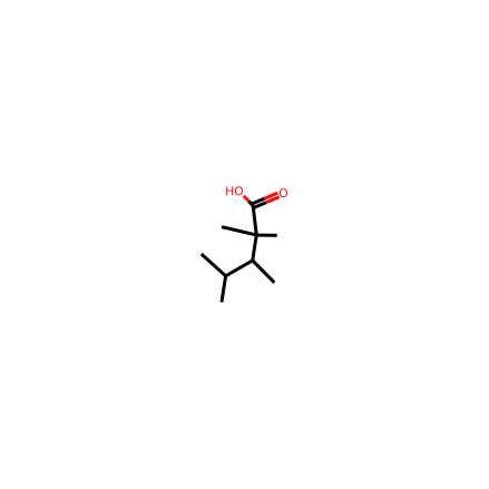 CC(C)C(C)C(C)(C)C(=O)O